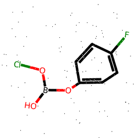 OB(OCl)Oc1ccc(F)cc1